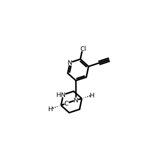 C#Cc1cc(N2C[C@H]3CC[C@@H]2CN3)cnc1Cl